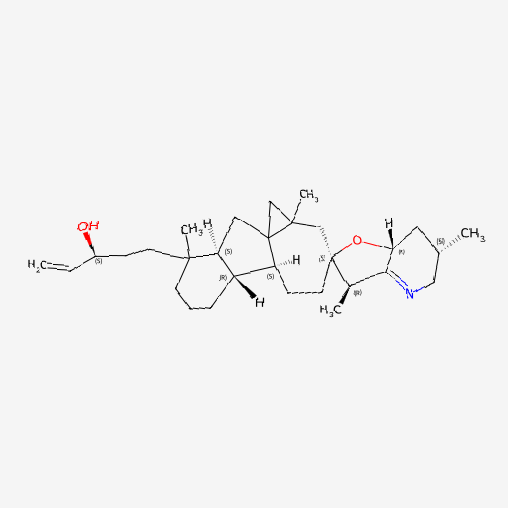 C=C[C@@H](O)CCC1(C)CCC[C@@H]2[C@@H]1CC13CC1(C)C[C@]1(CC[C@@H]23)O[C@@H]2C[C@H](C)CN=C2[C@H]1C